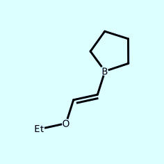 CCOC=CB1CCCC1